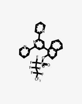 O=S(=O)(Oc1ccc2ccccc2c1-c1cc(-c2ccccn2)nc(-c2ccccn2)c1)C(F)(F)C(F)(F)C(F)(F)C(F)(F)F